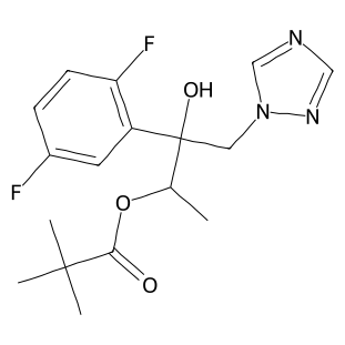 CC(OC(=O)C(C)(C)C)C(O)(Cn1cncn1)c1cc(F)ccc1F